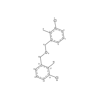 Cc1c(Cl)cccc1COCc1cccc(Cl)c1C